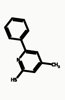 Cc1cc(S)nc(-c2ccccc2)c1